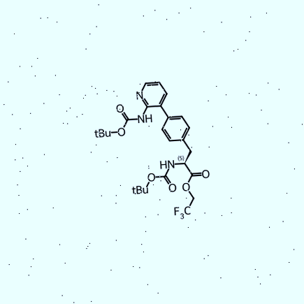 CC(C)(C)OC(=O)Nc1ncccc1-c1ccc(C[C@H](NC(=O)OC(C)(C)C)C(=O)OCC(F)(F)F)cc1